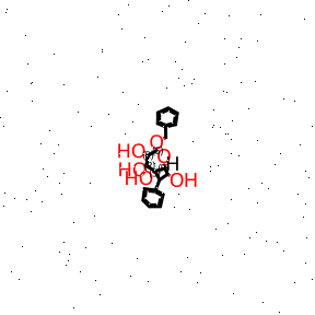 OC1C(c2ccccc2)[C@@]2(O)[C@@H]1O[C@H](OCc1ccccc1)[C@H](O)[C@H]2O